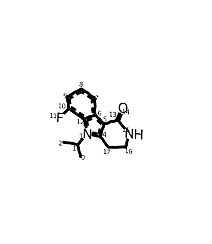 CC(C)n1c2c(c3cccc(F)c31)C(=O)NCC2